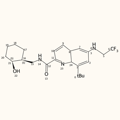 CC(C)(C)C1=CC(NCC(F)(F)F)=CC2C=CC(C(=O)NC[C@@H]3CCCC[C@@H]3O)=NC12